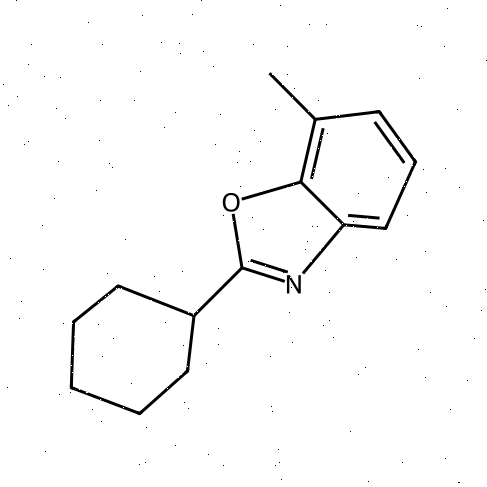 Cc1cccc2nc(C3CCCCC3)oc12